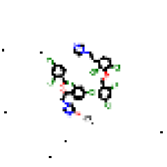 Clc1ccc(COC(Cn2ccnc2)c2ccc(Cl)cc2Cl)c(Cl)c1.Clc1ccc(COc2c(Cl)ccc(CCn3ccnc3)c2Cl)c(Cl)c1.O=[N+]([O-])O